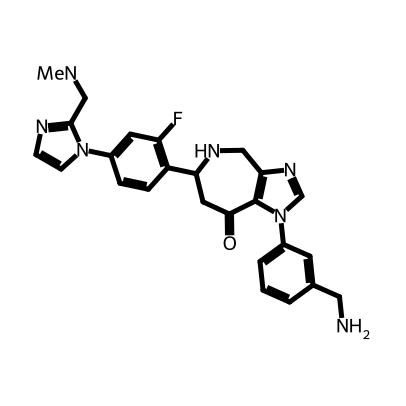 CNCc1nccn1-c1ccc(C2CC(=O)c3c(ncn3-c3cccc(CN)c3)CN2)c(F)c1